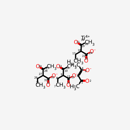 CC(=O)/C=C(/C)[O-].CCC(C(C)=O)C(=O)[O-].CCC(C(C)=O)C(=O)[O-].CCC(C(C)=O)C(=O)[O-].[Ti+4]